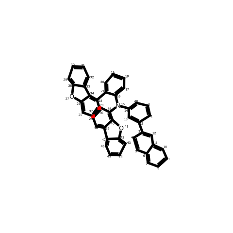 c1cc(-c2ccc3ccccc3c2)cc(N(c2ccccc2-c2cccc3oc4ccccc4c23)c2cccc3c2oc2ccccc23)c1